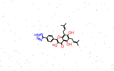 COc1c(-c2ccc(-c3nn[nH]n3)cc2)oc2c(CC=C(C)C)c(O)c(CC=C(C)C)c(O)c2c1=O